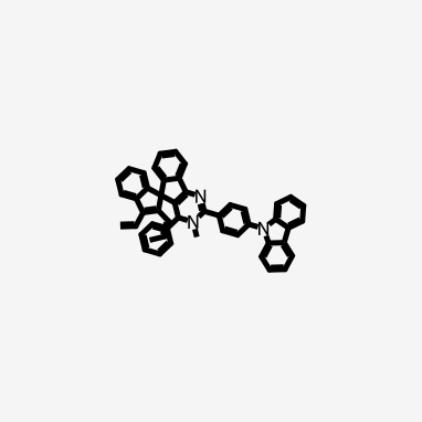 C=CC1=C(/C=C\C)C2(C3=C(N=C(c4ccc(-n5c6ccccc6c6ccccc65)cc4)N(C)C3c3ccccc3)c3ccccc32)c2ccccc21